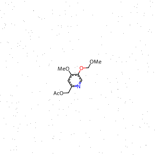 COCOc1cnc(COC(C)=O)cc1OC